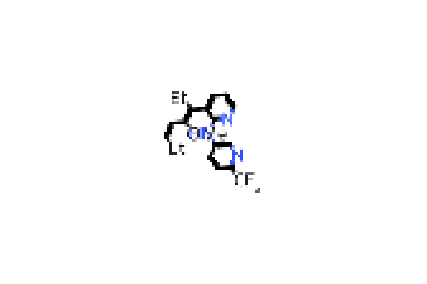 CC/C=C\C(OC)=C(/CC)c1cccnc1Nc1ccc(C(F)(F)F)nc1